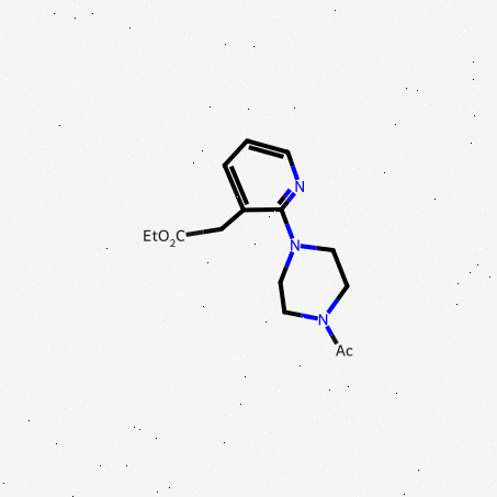 CCOC(=O)Cc1cccnc1N1CCN(C(C)=O)CC1